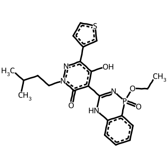 CCOP1(=O)N=C(c2c(O)c(-c3ccsc3)nn(CCC(C)C)c2=O)Nc2ccccc21